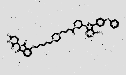 Nc1ncnc2c1c(-c1ccc(Oc3ccccc3)cc1)nn2C1CCCN(C(=O)CCCN2CCN(CCCCCSc3cccc4c3C(=O)N(C3CCC(=O)NC3=O)C4=O)CC2)C1